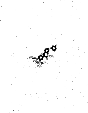 CNC(=O)c1c(-c2ccc(Oc3cccc(F)c3)cc2)oc2cc(N(CCO)S(C)(=O)=O)c(OC(C)C)cc12